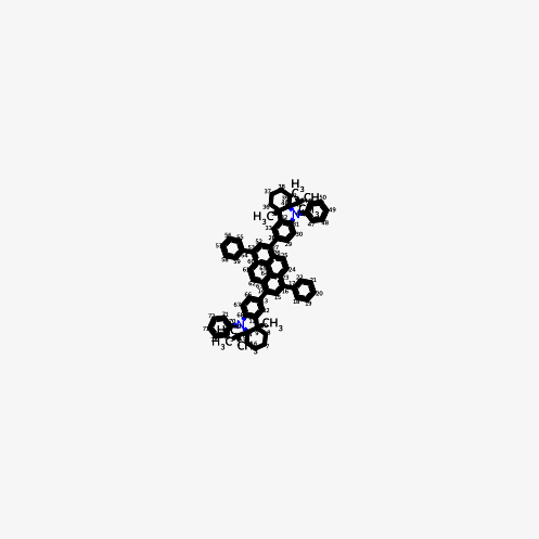 CC(C)(C)C12CCCCC1(C)c1cc(-c3cc(-c4ccccc4)c4ccc5c(-c6ccc7c(c6)C6(C)CCCCC6(C(C)(C)C)N7c6ccccc6)cc(-c6ccccc6)c6ccc3c4c65)ccc1N2c1ccccc1